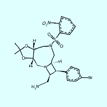 CC1(C)O[C@H]2CN3[C@H](CN)[C@H](c4ccc(Br)cc4)[C@@H]3CN(S(=O)(=O)c3ccccc3[N+](=O)[O-])C[C@H]2O1